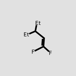 [CH2]CC(C=C(F)F)CC